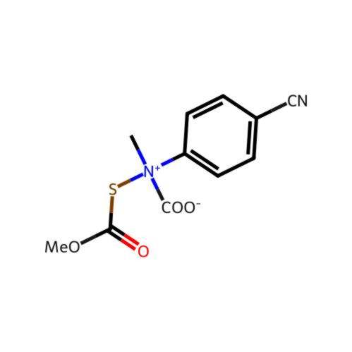 COC(=O)S[N+](C)(C(=O)[O-])c1ccc(C#N)cc1